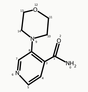 NC(=O)c1ccncc1N1CCOCC1